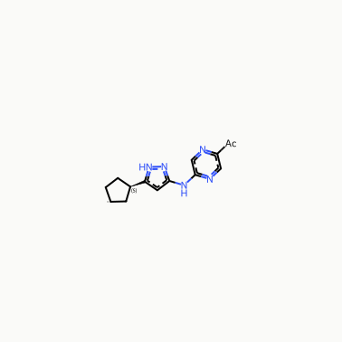 CC(=O)c1cnc(Nc2cc([C@H]3C[CH]CC3)[nH]n2)cn1